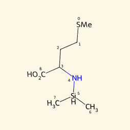 CSCCC(N[SiH](C)C)C(=O)O